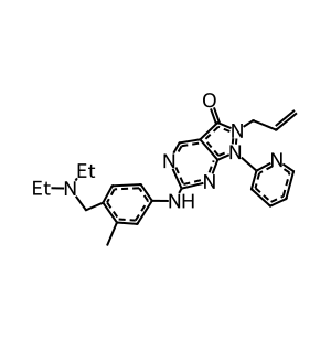 C=CCn1c(=O)c2cnc(Nc3ccc(CN(CC)CC)c(C)c3)nc2n1-c1ccccn1